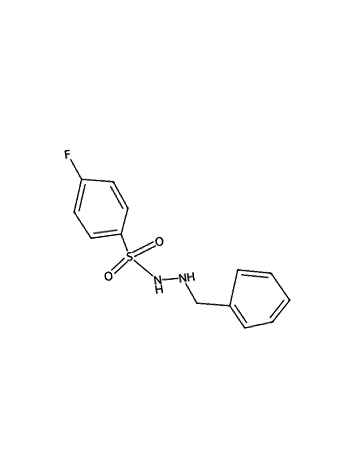 O=S(=O)(NNCc1ccccc1)c1ccc(F)cc1